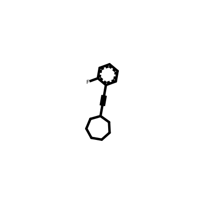 Fc1ccccc1C#CC1CCCCCC1